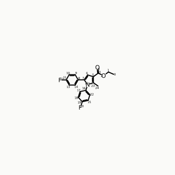 CCOC(=O)c1cc(-c2ccc(F)cc2)n(-c2ccc(F)cc2)c1C